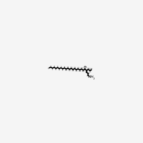 CCCCCCCCCCCCCCCCCCCCCC(=O)C(CCC)CCCN